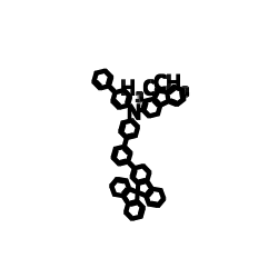 CC1(C)C2=C(CCC(N(C3=CCC(C4=CCCC=C4)C=C3)C3C=CC(c4cccc(C5=CC6=C(CC5)C5=C(C=CCC5)C65C6=C(CCC=C6)C6=C5C=CCC6)c4)=CC3)=C2)c2ccccc21